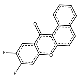 O=c1c2cc(F)c(F)cc2oc2ccc3ccccc3c12